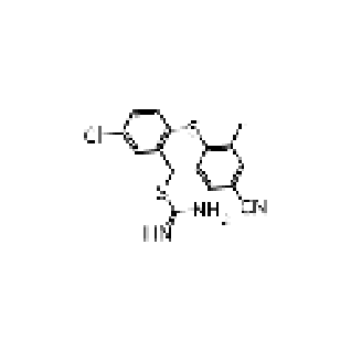 [CH2]c1cc(C#N)ccc1Sc1ccc(Cl)cc1CSC(=N)N